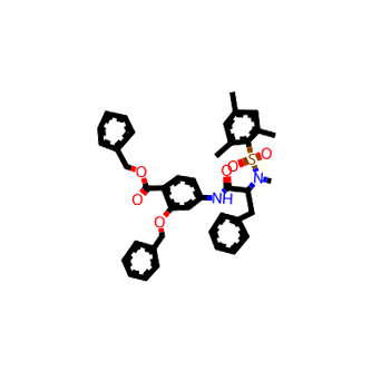 Cc1cc(C)c(S(=O)(=O)N(C)C(Cc2ccccc2)C(=O)Nc2ccc(C(=O)OCc3ccccc3)c(OCc3ccccc3)c2)c(C)c1